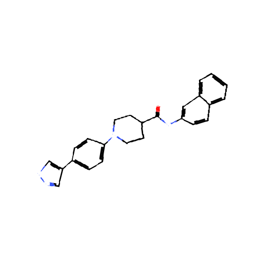 O=C(Nc1ccc2ccccc2c1)C1CCN(c2ccc(-c3cn[nH]c3)cc2)CC1